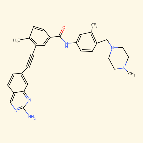 Cc1ccc(C(=O)Nc2ccc(CN3CCN(C)CC3)c(C(F)(F)F)c2)cc1C#Cc1ccc2cnc(N)nc2c1